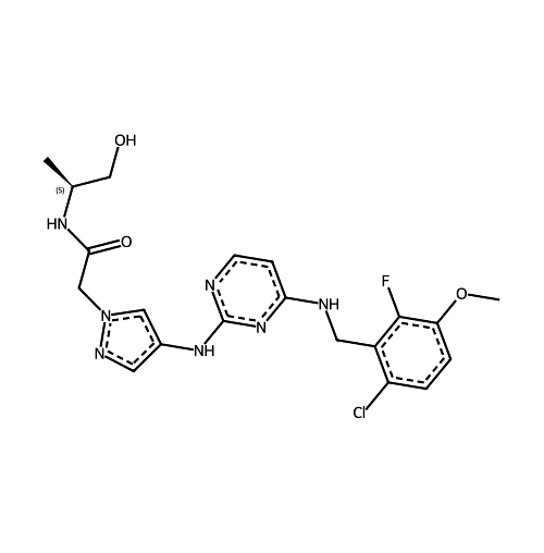 COc1ccc(Cl)c(CNc2ccnc(Nc3cnn(CC(=O)N[C@@H](C)CO)c3)n2)c1F